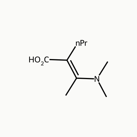 CCCC(C(=O)O)=C(C)N(C)C